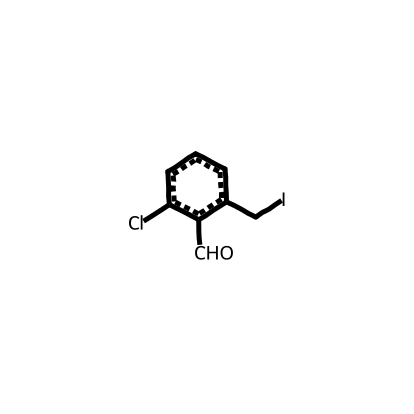 O=Cc1c(Cl)cccc1CI